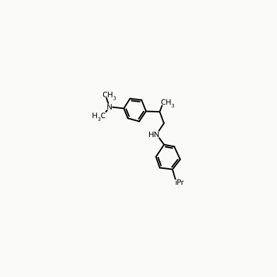 CC(C)c1ccc(NCC(C)c2ccc(N(C)C)cc2)cc1